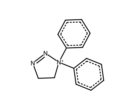 c1ccc([N+]2(c3ccccc3)CCN=N2)cc1